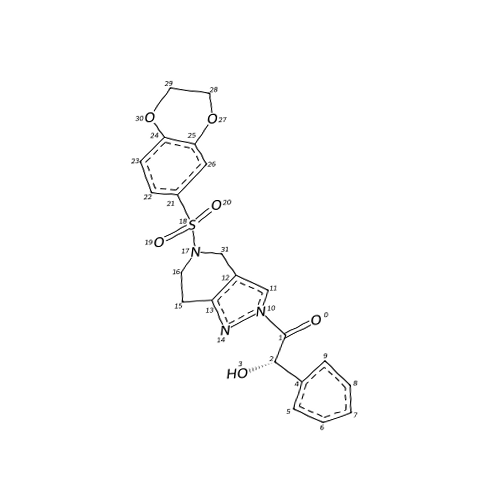 O=C([C@@H](O)c1ccccc1)n1cc2c(n1)CCN(S(=O)(=O)c1ccc3c(c1)OCCO3)C2